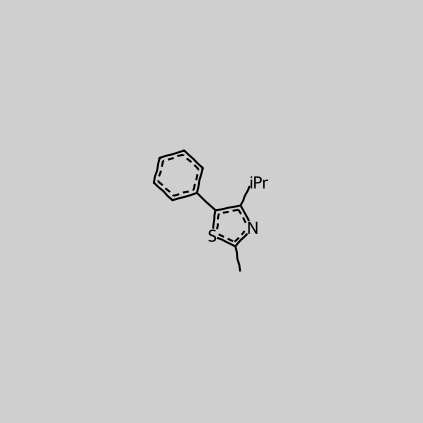 Cc1nc(C(C)C)c(-c2ccccc2)s1